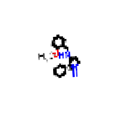 COc1ccccc1CN[C@@H]1CCN[C@H]1c1ccccc1